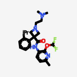 Cc1ccc(NC(=O)C2(c3ccccc3C(C)C)CN(CCN(C)C)C2)c(OC(F)F)n1